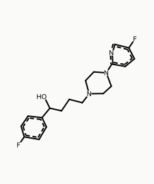 OC(CCCN1CCN(c2ccc(F)cn2)CC1)c1ccc(F)cc1